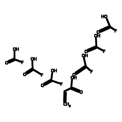 C=CC(=O)O.O=C(O)F.O=C(O)F.O=C(O)F.O=C(O)F.O=C(O)F.O=C(O)F